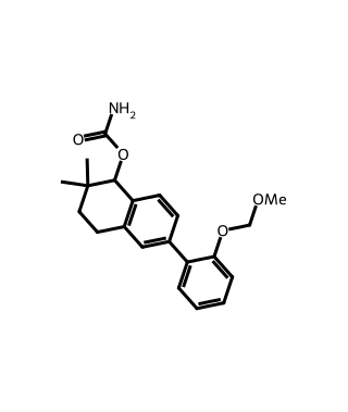 COCOc1ccccc1-c1ccc2c(c1)CCC(C)(C)C2OC(N)=O